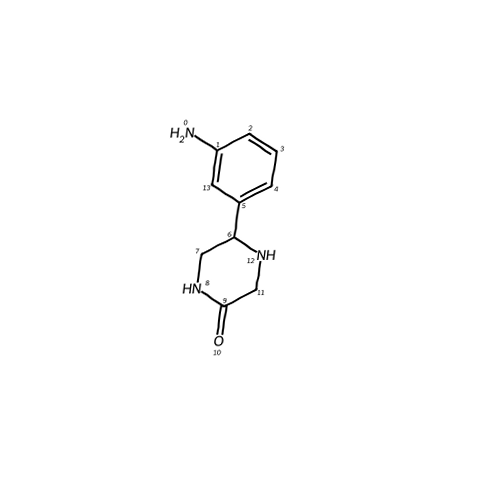 Nc1cccc(C2CNC(=O)CN2)c1